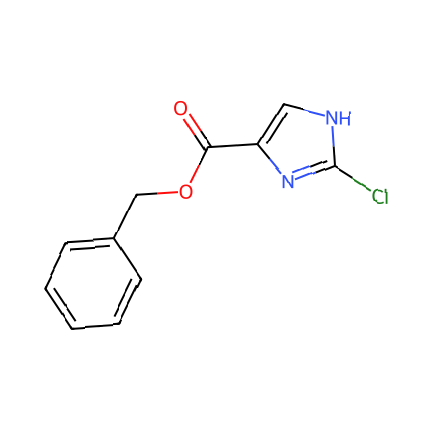 O=C(OCc1ccccc1)c1c[nH]c(Cl)n1